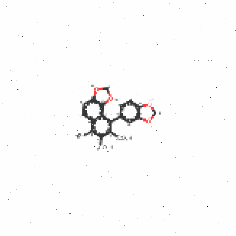 CCCc1c(C(=O)O)c(C(=O)O)c(-c2ccc3c(c2)OCO3)c2c3c(ccc12)OCO3